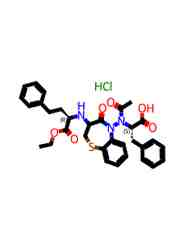 CCOC(=O)[C@@H](CCc1ccccc1)NC1CSc2ccccc2N(N(C(C)=O)[C@@H](Cc2ccccc2)C(=O)O)C1=O.Cl